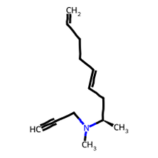 C#CCN(C)[C@H](C)C/C=C/CCC=C